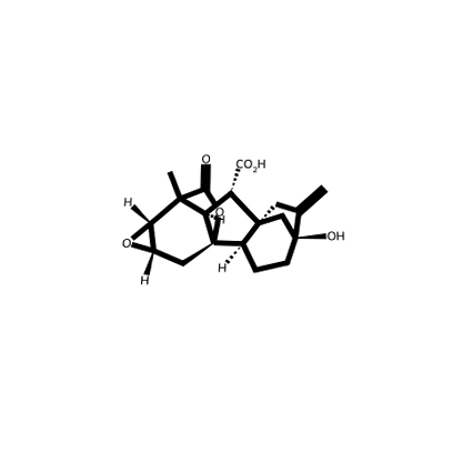 C=C1C[C@]23C[C@@]1(O)CC[C@H]2[C@@]12C[C@@H]4O[C@@H]4C(C)(C(=O)O1)[C@H]2[C@@H]3C(=O)O